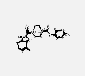 CC1=CCCc2[nH]c(C(=O)N3CCN(C(=O)Oc4ccc(C)nc4)CC3)nc21